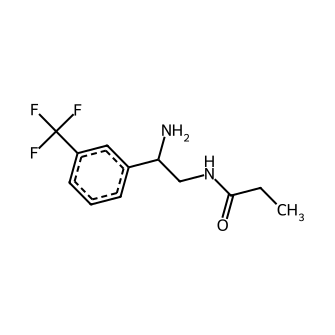 CCC(=O)NCC(N)c1cccc(C(F)(F)F)c1